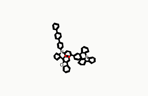 c1ccc(-c2ccc(-c3ccc(N(c4ccc(-c5cccc(-c6ccccc6-n6c7ccccc7c7ccccc76)c5)cc4)c4ccccc4-c4cccc5c4oc4ccccc45)cc3)cc2)cc1